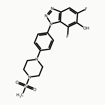 CS(=O)(=O)N1CCN(c2ccc(-n3nnc4cc(F)c(O)c(F)c43)cc2)CC1